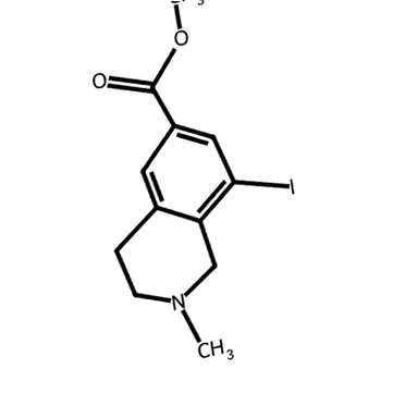 COC(=O)c1cc(I)c2c(c1)CCN(C)C2